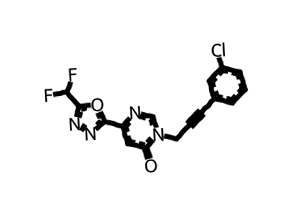 O=c1cc(-c2nnc(C(F)F)o2)ncn1CC#Cc1cccc(Cl)c1